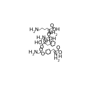 NCC(=O)O.NCC(=O)Oc1ccc(C[C@H](N)C(=O)O)cc1.NCCCC[C@H](N)C(=O)O.N[C@@H](Cc1ccccc1)C(=O)O